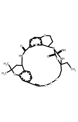 CCC12CCCCC/C=C\c3ccc4c(c3)OC(C)(C)CC4NC(=O)c3ccc4c(c3)C(CCO4)N(C(=N)N1)C(=O)C2